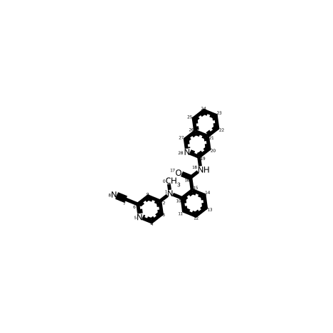 CN(c1ccnc(C#N)c1)c1ccccc1C(=O)Nc1cc2ccccc2cn1